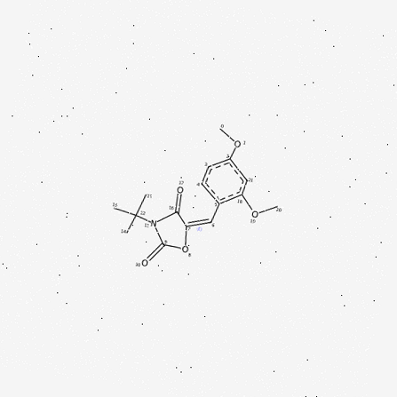 COc1ccc(/C=C2/OC(=O)N(C(C)(C)C)C2=O)c(OC)c1